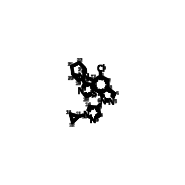 Clc1cc2cnn(-c3cnn(C4CC4)c3)c2cc1N1CC2CCC1N2c1cscn1